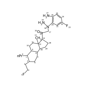 CCCC1C(CCF)CCC2C1CCC1(C)C(C(=O)CN(N)c3cc(F)ccc3N)CCC21